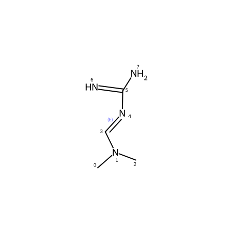 CN(C)/C=N/C(=N)N